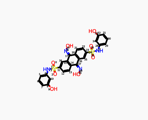 O=S(=O)(Nc1cccc(O)c1)c1ccc2c(c1)C(=NO)c1ccc(S(=O)(=O)Nc3cccc(O)c3)cc1C2=NO